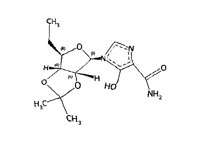 CC[C@H]1O[C@@H](n2cnc(C(N)=O)c2O)[C@@H]2OC(C)(C)O[C@@H]21